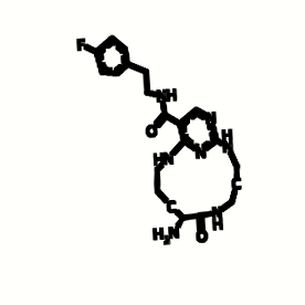 N[C@H]1CCCNc2nc(ncc2C(=O)NCCc2ccc(F)cc2)NCCCNC1=O